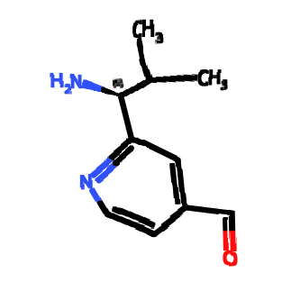 CC(C)[C@H](N)c1cc(C=O)ccn1